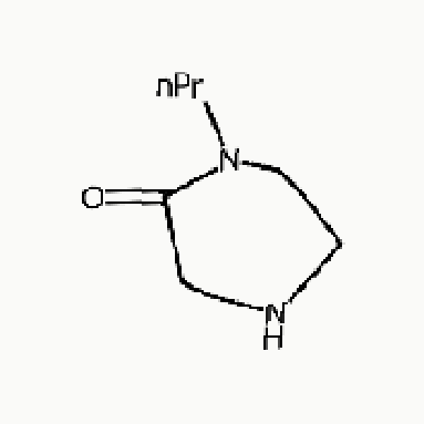 [CH2]CCN1CCNCC1=O